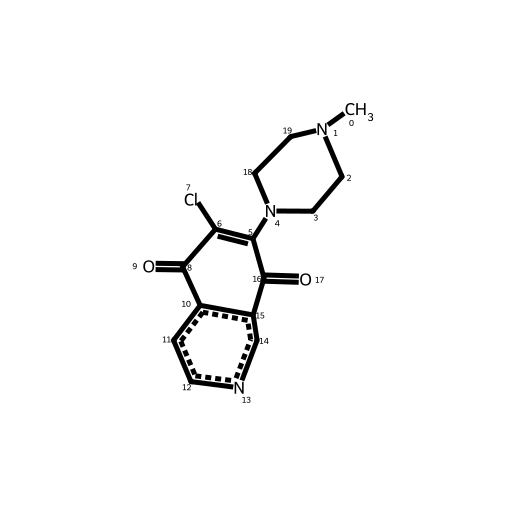 CN1CCN(C2=C(Cl)C(=O)c3ccncc3C2=O)CC1